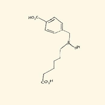 CCCN(CCCCCC(=O)O)Cc1ccc(C(=O)O)cc1